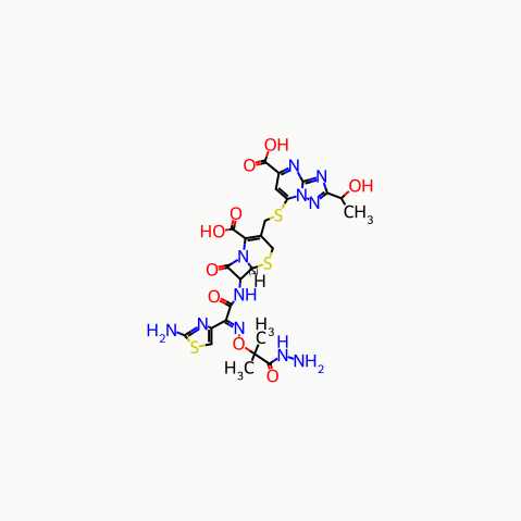 CC(O)c1nc2nc(C(=O)O)cc(SCC3=C(C(=O)O)N4C(=O)C(NC(=O)C(=NOC(C)(C)C(=O)NN)c5csc(N)n5)[C@@H]4SC3)n2n1